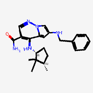 C[C@H]1CC[C@@H](Nc2c(C(N)=O)cnn3cc(NCc4ccccc4)cc23)C1(C)C